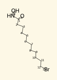 O=C(CCCCCCCCCCCBr)NO